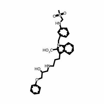 CS(=O)(=O)CNc1cccc(Cn2c(C(=O)O)c(CCCNCC(O)COc3ccccc3)c3ccccc32)c1